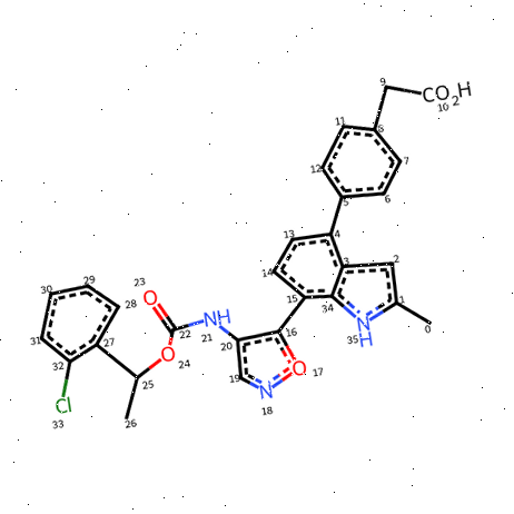 Cc1cc2c(-c3ccc(CC(=O)O)cc3)ccc(-c3oncc3NC(=O)OC(C)c3ccccc3Cl)c2[nH]1